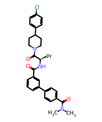 CC(C)[C@@H](NC(=O)c1cccc(-c2ccc(C(=O)N(C)C)cc2)c1)C(=O)N1CCC(c2ccc(Cl)cc2)CC1